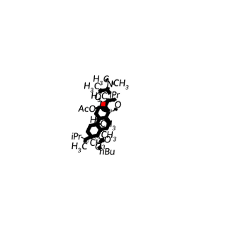 CCCCOC(=O)[C@@H]1[C@@](C)([C@H](C)C(C)C)CC[C@]2(C)[C@H]3CC[C@@H]4[C@@]5(COC[C@]4(C)[C@@H](OC(C)C(C(C)C)N(C)C)[C@H](OC(C)=O)C5)C3=CC[C@@]12C